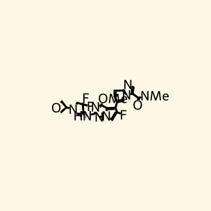 CNC(=O)c1cnc2ccc(-c3c(F)cn4nc(N[C@@H]5CN(C6COC6)CC5(F)F)nc(OC)c34)cn12